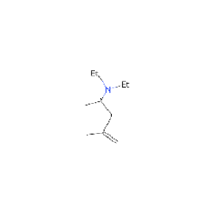 C=C(C)C[C](C)N(CC)CC